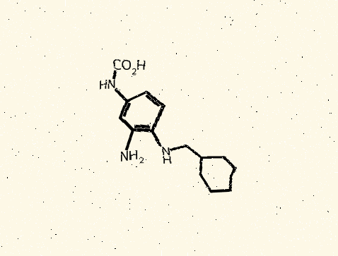 Nc1cc(NC(=O)O)ccc1NCC1CCCCC1